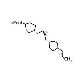 C/C=C/[C@H]1CC[C@H](C/C=C\C[C@H]2CC[C@H](CCCCC)CC2)CC1